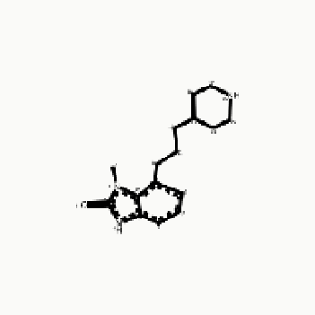 Cn1c(=O)[nH]c2cccc(CCCC3CCNCC3)c21